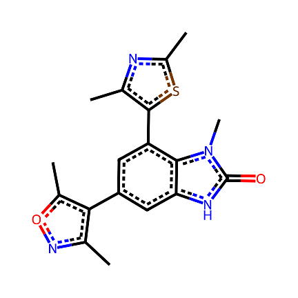 Cc1nc(C)c(-c2cc(-c3c(C)noc3C)cc3[nH]c(=O)n(C)c23)s1